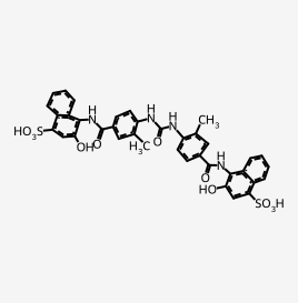 Cc1cc(C(=O)Nc2c(O)cc(S(=O)(=O)O)c3ccccc23)ccc1NC(=O)Nc1ccc(C(=O)Nc2c(O)cc(S(=O)(=O)O)c3ccccc23)cc1C